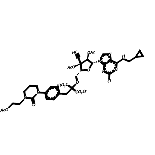 C#C[C@@]1(OC(C)=O)[C@@H](COC(Cc2ccc(N3CCCN(CCOC(C)=O)C3=O)cc2)(C(=O)OCC)C(=O)OCC)O[C@@H](n2cnc3c(NCC4CC4)nc(Cl)nc32)[C@@H]1OC(C)=O